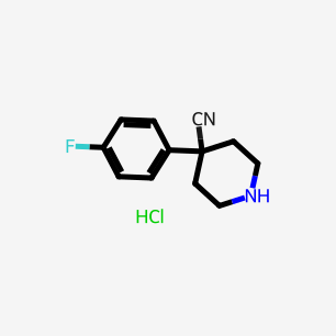 Cl.N#CC1(c2ccc(F)cc2)CCNCC1